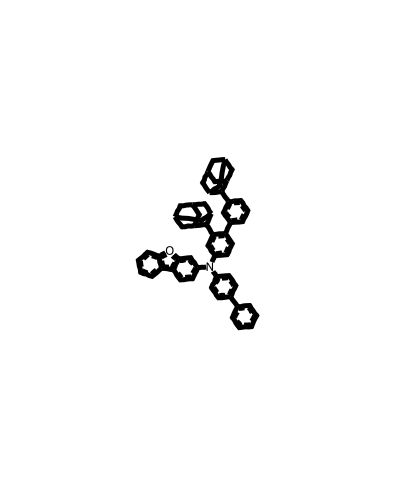 c1ccc(-c2ccc(N(c3ccc(-c4cccc(C5C6CC7CC(C6)CC5C7)c4)c(C4C5CC6CC(C5)CC4C6)c3)c3ccc4c(c3)oc3ccccc34)cc2)cc1